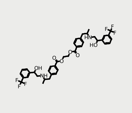 CC(Cc1ccc(C(=O)OCCOC(=O)c2ccc(CC(C)NCC(O)c3cccc(C(F)(F)F)c3)cc2)cc1)NCC(O)c1cccc(C(F)(F)F)c1